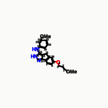 COCCCOc1ccc2c(c1)Cc1c-2n[nH]c1Nc1cccc(OC)c1